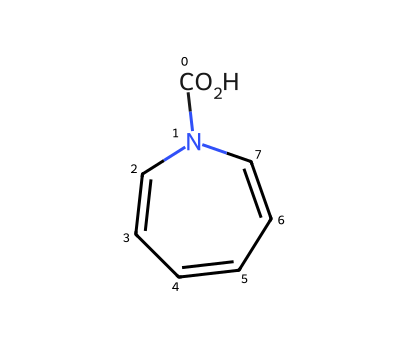 O=C(O)N1C=CC=CC=C1